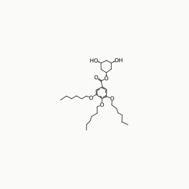 CCCCCCOc1cc(C(=O)O[C@@H]2C[C@H](O)C[C@H](O)C2)cc(OCCCCCC)c1OCCCCCC